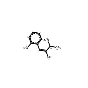 CCCCc1ccccc1C=C(CCC)C(OC(C)=O)OC(C)=O